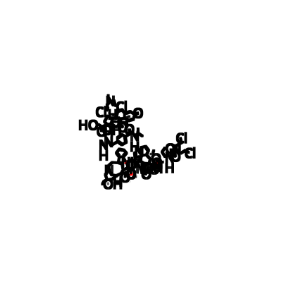 CC[C@]1(O)C[C@@H]2CN(CCc3c([nH]c4ccccc34)[C@@](C(=O)OC)(c3ccc4c(c3OC)N(C=O)[C@H]3[C@@](O)(C(=O)OC)[C@H](OC(C)=O)[C@]5(CC)C=CCN6CC[C@]43[C@@H]65)C2)C1.CN(CCCl)CCCl.CNNCc1ccc(C(=O)NC(C)C)cc1.C[C@]12C=CC(=O)C=C1CC[C@@H]1[C@@H]2C(=O)C[C@@]2(C)[C@H]1CC[C@]2(O)C(=O)CO.O=P1(N(CCCl)CCCl)NCCCO1